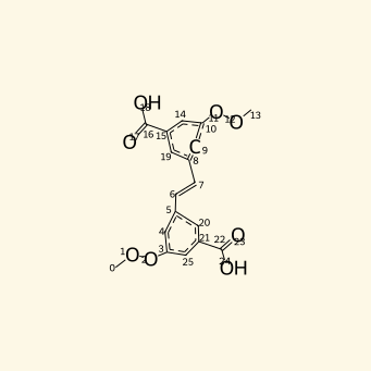 COOc1cc(/C=C/c2cc(OOC)cc(C(=O)O)c2)cc(C(=O)O)c1